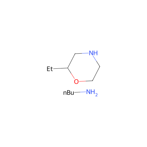 CCC1CNCCO1.CCCCN